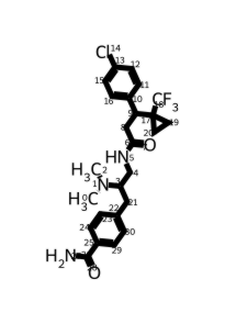 CN(C)C(CNC(=O)CC(c1ccc(Cl)cc1)C1(C(F)(F)F)CC1)Cc1ccc(C(N)=O)cc1